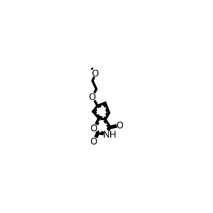 COCCOc1ccc2c(=O)[nH]c(=O)oc2c1